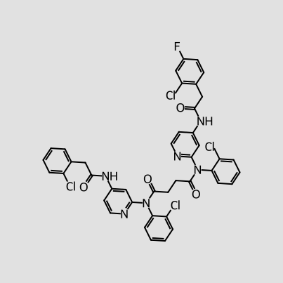 O=C(Cc1ccccc1Cl)Nc1ccnc(N(C(=O)CCC(=O)N(c2cc(NC(=O)Cc3ccc(F)cc3Cl)ccn2)c2ccccc2Cl)c2ccccc2Cl)c1